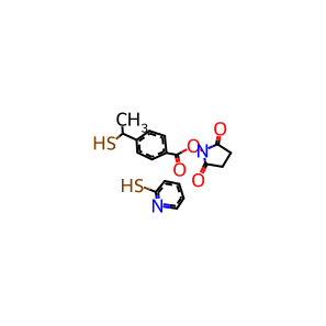 CC(S)c1ccc(C(=O)ON2C(=O)CCC2=O)cc1.Sc1ccccn1